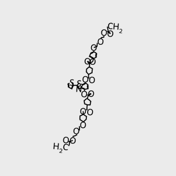 C=CC(=O)OCCOCCOc1ccc(OC(=O)C2CCC(C(=O)Oc3ccc(OC(=O)C4CCC(C(=O)OC5CCC(OCCOCCOC(=O)C=C)CC5)CC4)c4nc(-c5cccs5)sc34)CC2)cc1